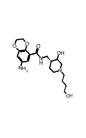 Nc1cc2c(c(C(=O)NC[C@@H]3CCN(CCCCO)CC3O)c1)OCCO2